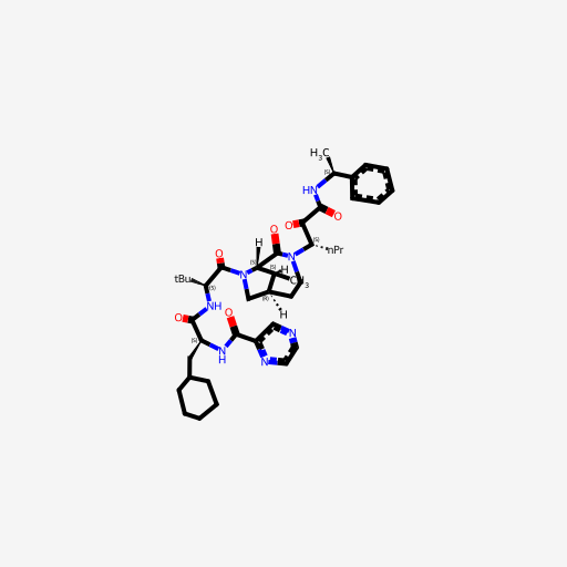 CCC[C@@H](C(=O)C(=O)N[C@@H](C)c1ccccc1)N1CC[C@H]2CN(C(=O)[C@@H](NC(=O)[C@H](CC3CCCCC3)NC(=O)c3cnccn3)C(C)(C)C)[C@H](C1=O)[C@H]2C